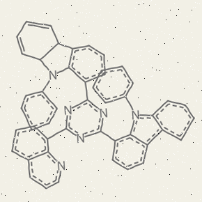 C1=CC2c3cccc(-c4nc(-c5cccc6cccnc56)nc(-c5cccc6c7ccccc7n(-c7ccccc7)c56)n4)c3N(c3ccccc3)C2C=C1